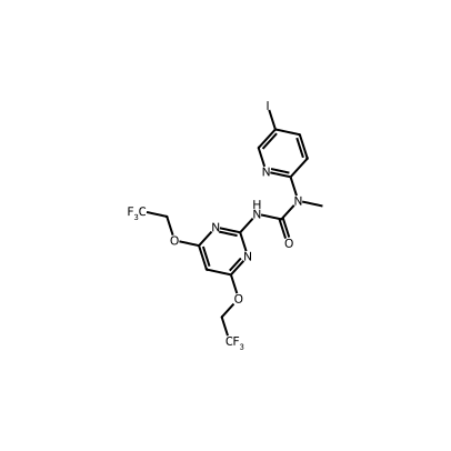 CN(C(=O)Nc1nc(OCC(F)(F)F)cc(OCC(F)(F)F)n1)c1ccc(I)cn1